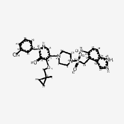 CC1(COc2c(N3CCN(S(=O)(=O)Cc4c([N+](=O)[O-])ccc5[nH]ncc45)CC3)cnn(-c3cccc(Cl)c3)c2=O)CC1